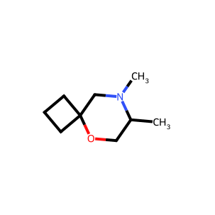 CC1COC2(CCC2)CN1C